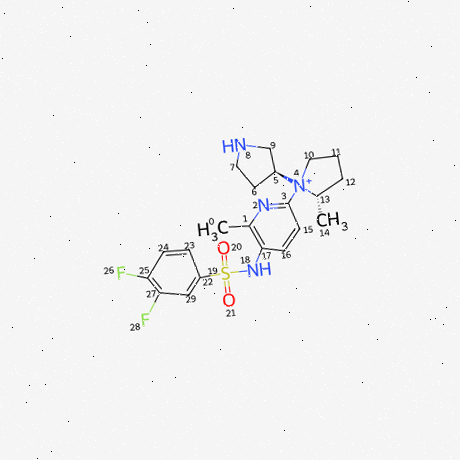 Cc1nc([N+]2([C@H]3CCNC3)CCC[C@@H]2C)ccc1NS(=O)(=O)c1ccc(F)c(F)c1